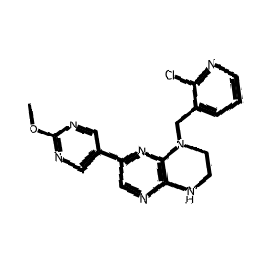 COc1ncc(-c2cnc3c(n2)N(Cc2cccnc2Cl)CCN3)cn1